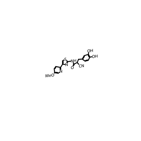 COc1ccc(-c2csc(NC(=O)C(C#N)Cc3ccc(O)c(O)c3)n2)nc1